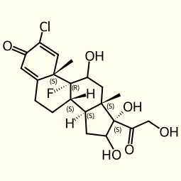 C[C@]12C=C(Cl)C(=O)C=C1CC[C@H]1[C@@H]3CC(O)[C@](O)(C(=O)CO)[C@@]3(C)CC(O)[C@@]12F